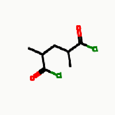 CC(CC(C)C(=O)Cl)C(=O)Cl